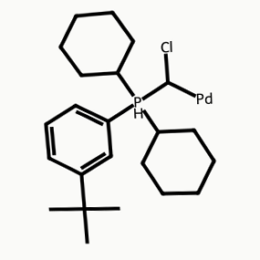 CC(C)(C)c1cccc([PH]([CH](Cl)[Pd])(C2CCCCC2)C2CCCCC2)c1